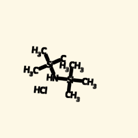 C[Si](C)(C)N[Si](C)(C)C.Cl